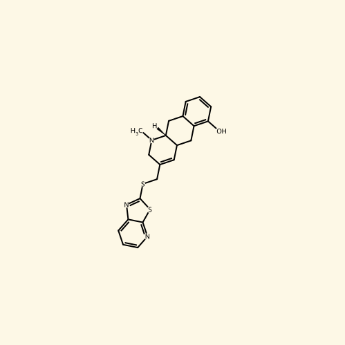 CN1CC(CSc2nc3cccnc3s2)=CC2Cc3c(O)cccc3C[C@H]21